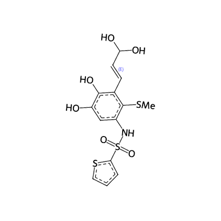 CSc1c(NS(=O)(=O)c2cccs2)cc(O)c(O)c1/C=C/C(O)O